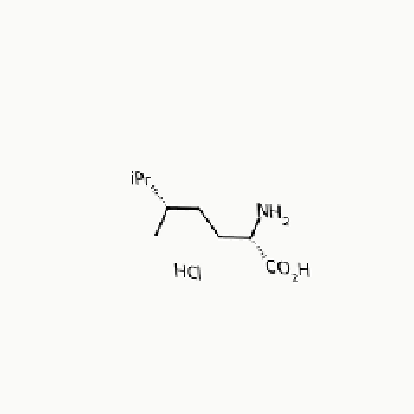 CC(C)[C@@H](C)CC[C@H](N)C(=O)O.Cl